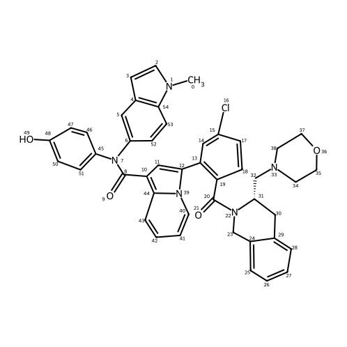 Cn1ccc2cc(N(C(=O)c3cc(-c4cc(Cl)ccc4C(=O)N4Cc5ccccc5C[C@H]4CN4CCOCC4)n4ccccc34)c3ccc(O)cc3)ccc21